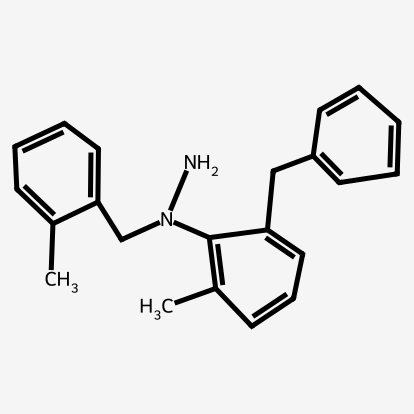 Cc1ccccc1CN(N)c1c(C)cccc1Cc1ccccc1